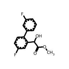 COC(=O)C(O)c1cc(F)ccc1-c1cccc(F)c1